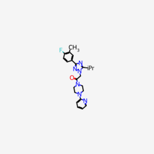 Cc1cc(-c2nc(C(C)C)n(CC(=O)N3CCN(c4ccccn4)CC3)n2)ccc1F